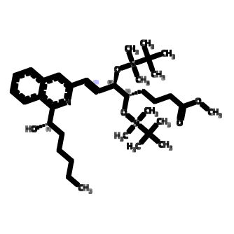 CCCCC[C@H](O)c1nc(/C=C/[C@@H](O[Si](C)(C)C(C)(C)C)[C@H](CCCC(=O)OC)O[Si](C)(C)C(C)(C)C)cc2ccccc12